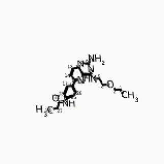 CCCOCCNc1nc(N)nc2ccc(-c3ccc(NC(=O)CC)cc3)nc12